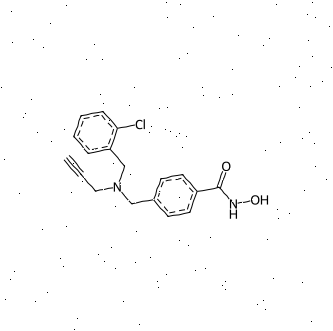 C#CCN(Cc1ccc(C(=O)NO)cc1)Cc1ccccc1Cl